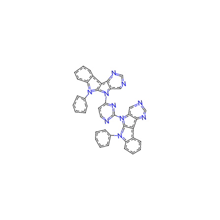 c1ccc(-n2c3ccccc3c3c4ncncc4n(-c4ccnc(-n5c6cncnc6c6c7ccccc7n(-c7ccccc7)c65)n4)c32)cc1